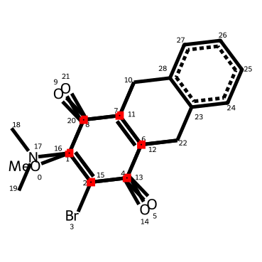 COC1=C(Br)C(=O)C2=C(C1=O)C1C3=C(C(=O)C=C(N(C)C)C3=O)C2c2ccccc21